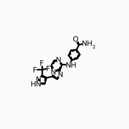 NC(=O)c1ccc(Nc2nccn3c(-c4c[nH]nc4C(F)(F)F)cnc23)cc1